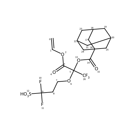 C=COC(=O)C(OCCC(F)(F)S(=O)(=O)O)(OC(=O)C12CC3CC(CC(C3)C1)C2)C(F)(F)F